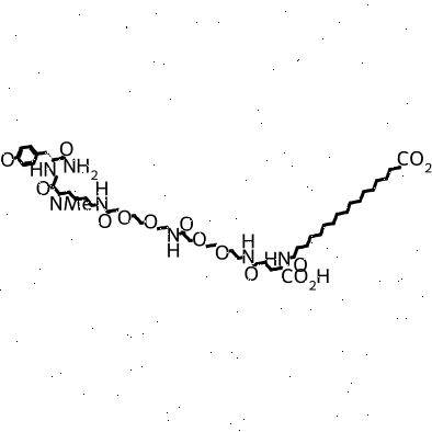 CN[C@@H](CCCCNC(=O)COCCOCCNC(=O)COCCOCCNC(=O)CC[C@H](NC(=O)CCCCCCCCCCCCCCCCC(=O)O)C(=O)O)C(=O)CN[C@H](Cc1ccc(O)cc1)C(N)=O